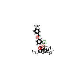 CC(C)c1ccc(COc2ccc(B3OC(C)(C)C(C)(C)O3)c(Cl)c2)cc1